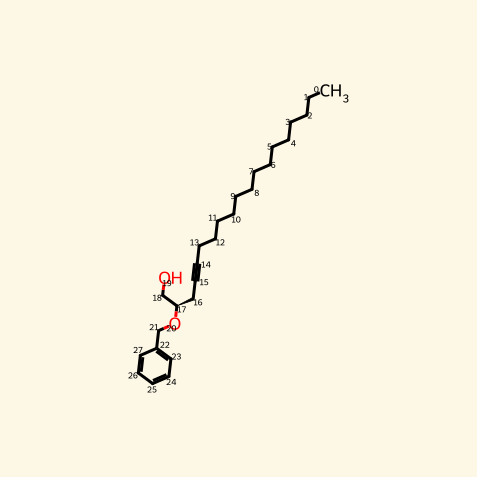 CCCCCCCCCCCCCCC#CC[C@H](CO)OCc1ccccc1